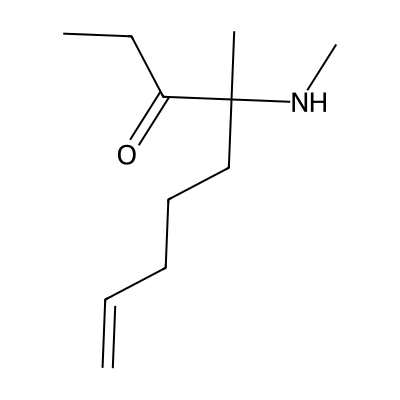 C=CCCCC(C)(NC)C(=O)CC